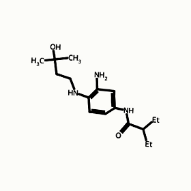 CCC(CC)C(=O)Nc1ccc(NCCC(C)(C)O)c(N)c1